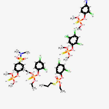 CCCSP(=O)(OCC)Oc1ccc(Cl)cc1Cl.CCOP(=S)(OCC)Oc1ccc(Cl)cc1Cl.COP(=S)(OC)Oc1cc(Cl)c(Cl)cc1Cl.COP(=S)(OC)Oc1ccc(S(=O)(=O)N(C)C)cc1.COP(=S)(OC)Oc1ccc([N+](=O)[O-])cc1Cl